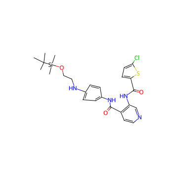 CC(C)(C)[Si](C)(C)OCCNc1ccc(NC(=O)c2ccncc2NC(=O)c2ccc(Cl)s2)cc1